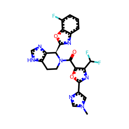 Cn1cnc(-c2nc(C(F)F)c(C(=O)N3CCc4[nH]cnc4[C@H]3c3nc4cccc(F)c4o3)o2)c1